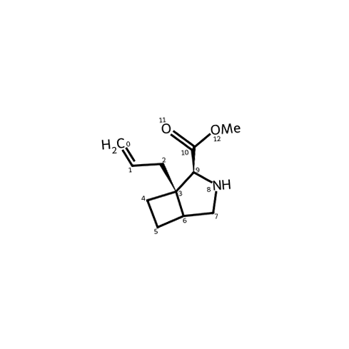 C=CC[C@]12CCC1CN[C@@H]2C(=O)OC